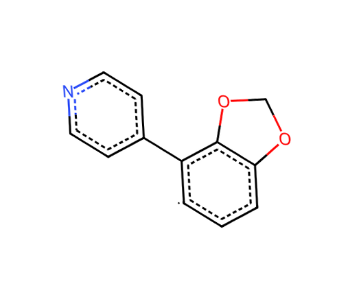 [c]1ccc2c(c1-c1ccncc1)OCO2